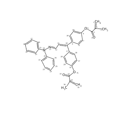 C=C(C)C(=O)Oc1ccc(C(=CC=NN(c2ccccc2)c2ccccc2)c2ccc(OC(=O)C(=C)C)cc2)cc1